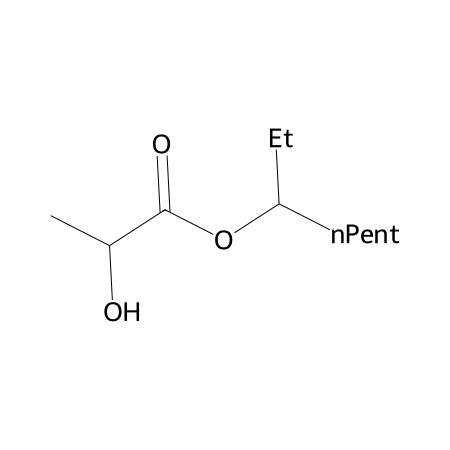 CCCCCC(CC)OC(=O)C(C)O